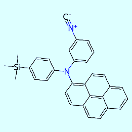 [C-]#[N+]c1cccc(N(c2ccc([Si](C)(C)C)cc2)c2ccc3ccc4cccc5ccc2c3c45)c1